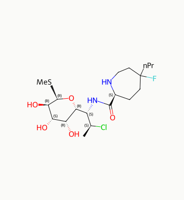 CCCC1(F)CCN[C@H](C(=O)N[C@@H]([C@H]2O[C@H](SC)[C@H](O)[C@@H](O)[C@H]2O)[C@H](C)Cl)CC1